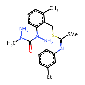 CCc1cccc(/N=C(/SC)SCc2c(C)cccc2N(N)C(=O)N(C)N)c1